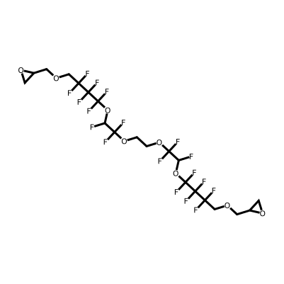 FC(OC(F)(F)C(F)(F)C(F)(F)COCC1CO1)C(F)(F)OCCOC(F)(F)C(F)OC(F)(F)C(F)(F)C(F)(F)COCC1CO1